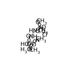 C/N=c1\ccc2c(-c3cc(C(=O)NCCCCNC(=O)Cc4c(C)n(C(=O)c5ccc(Cl)cc5)c5ccc(OC)cc45)ccc3C(=O)O)c3ccc(N(C)C)cc3oc-2c1